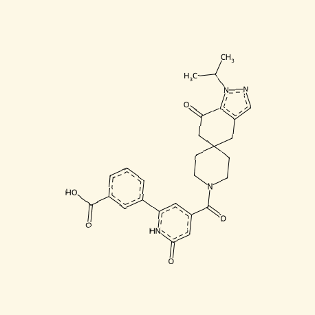 CC(C)n1ncc2c1C(=O)CC1(CCN(C(=O)c3cc(-c4cccc(C(=O)O)c4)[nH]c(=O)c3)CC1)C2